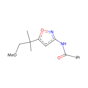 COCC(C)(C)c1cc(NC(=O)C(C)C)no1